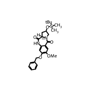 COc1cc2c(cc1OCc1ccccc1)NC(=O)[C@@H]1CC(O[Si](C)(C)C(C)(C)C)CN1C2=O